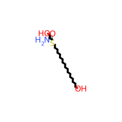 N[C@@H](CSCCCCCCCCCCCCCCCCCCO)C(=O)O